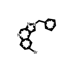 Brc1ccc2ncc3nn(Cc4ccccc4)cc3c2c1